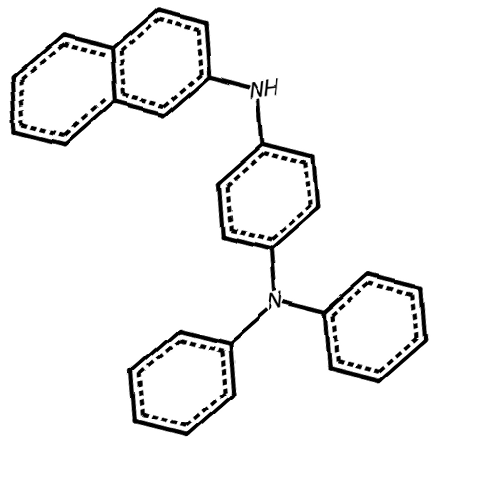 c1ccc(N(c2ccccc2)c2ccc(Nc3ccc4ccccc4c3)cc2)cc1